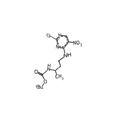 CC(CCNc1nc(Cl)ncc1[N+](=O)[O-])NC(=O)OC(C)(C)C